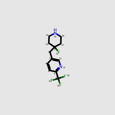 FC1(Cc2ccc(C(F)(F)F)nc2)CCNCC1